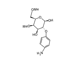 COC[C@H]1O[C@@H](O)[C@H](Oc2ccc(N)cc2)[C@@H](O)[C@H]1OC